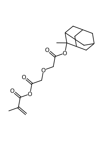 C=C(C)C(=O)OC(=O)COCC(=O)OC1(C)C2CC3CC(C2)CC1C3